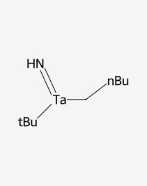 CCCC[CH2][Ta](=[NH])[C](C)(C)C